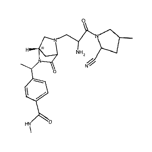 CNC(=O)c1ccc(C(C)N2C(=O)C3C[C@H]2CN3CC(N)C(=O)N2CC(C)CC2C#N)cc1